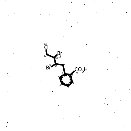 O=C(O)c1ccccc1CC(Br)C(Br)CCl